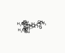 CC1(C)CC(=O)C=C(c2ccc(N(CCO[Si](C)(C)C(C)(C)C)CCO[Si](C)(C)C(C)(C)C)cc2)C1